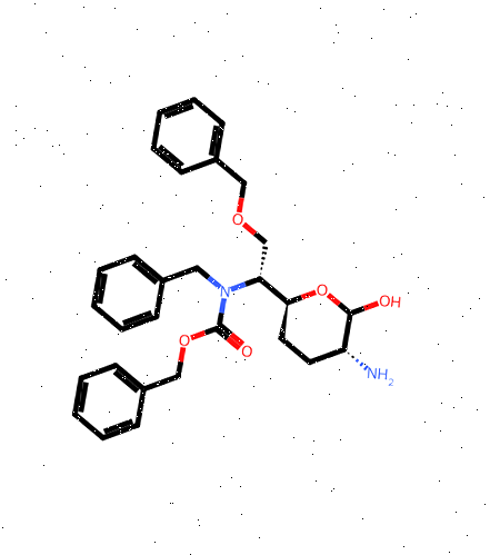 N[C@@H]1CC[C@@H]([C@@H](COCc2ccccc2)N(Cc2ccccc2)C(=O)OCc2ccccc2)OC1O